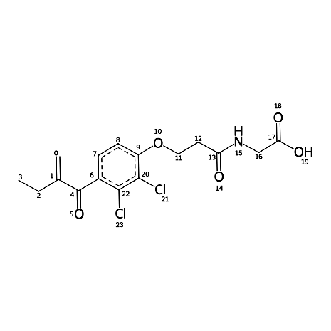 C=C(CC)C(=O)c1ccc(OCCC(=O)NCC(=O)O)c(Cl)c1Cl